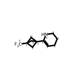 FC(F)(F)C12CC(C3=CCCCN3)(C1)C2